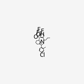 CCCC(c1ccc(C(F)(F)F)cc1)N1CC(c2ccc(Cl)cc2C)C2=C1C(CC(=O)O)CCC2